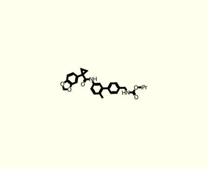 Cc1ccc(NC(=O)C2(c3ccc4c(c3)OCO4)CC2)cc1-c1ccc(CNC(=O)OC(C)C)cc1